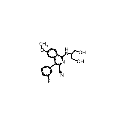 COc1ccc2c(NC(CO)CO)nc(C#N)c(-c3cccc(F)c3)c2c1